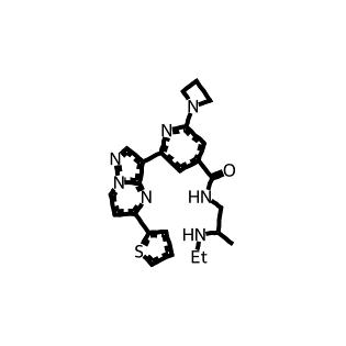 CCNC(C)CNC(=O)c1cc(-c2cnn3ccc(-c4cccs4)nc23)nc(N2CCC2)c1